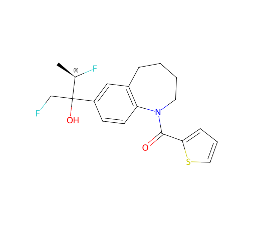 C[C@@H](F)C(O)(CF)c1ccc2c(c1)CCCCN2C(=O)c1cccs1